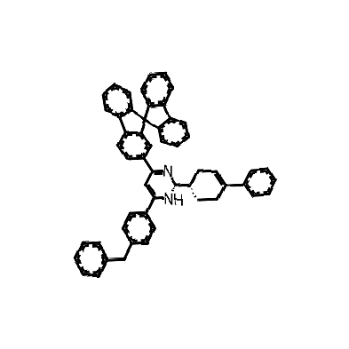 C1=C(c2ccccc2)CC[C@H]([C@H]2N=C(c3ccc4c(c3)C3(c5ccccc5-c5ccccc53)c3ccccc3-4)C=C(c3ccc(Cc4ccccc4)cc3)N2)C1